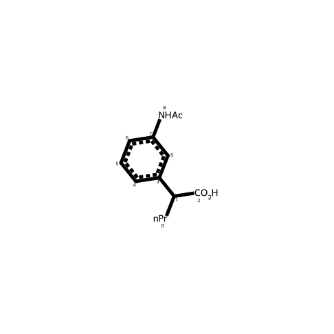 CCCC(C(=O)O)c1cccc(NC(C)=O)c1